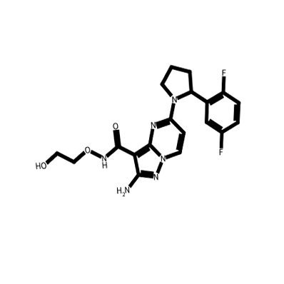 Nc1nn2ccc(N3CCCC3c3cc(F)ccc3F)nc2c1C(=O)NOCCO